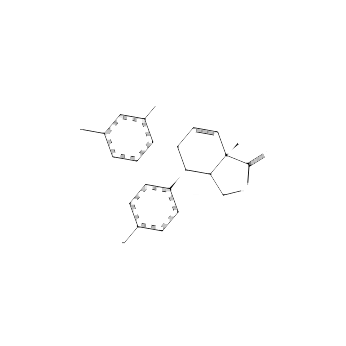 C[C@H]1OC(=O)[C@H]2C=C[C@@H](c3ccc(Cl)cc3Cl)[C@H](c3ccc(Cl)cc3)[C@@H]21